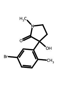 Cc1ccc(Br)cc1C1(O)CCN(C)C1=O